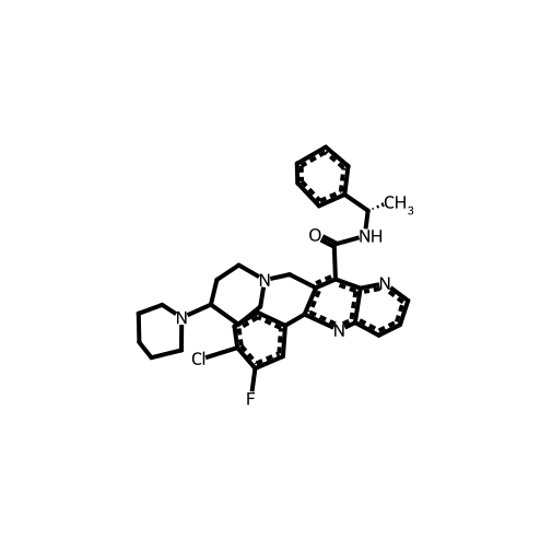 C[C@H](NC(=O)c1c(CN2CCC(N3CCCCC3)CC2)c(-c2ccc(Cl)c(F)c2)nc2cccnc12)c1ccccc1